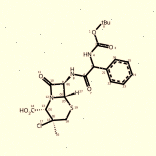 CC(C)(C)OC(=O)NC(C(=O)N[C@@H]1C(=O)N2[C@@H](C(=O)O)[C@](C)(Cl)CS[C@@H]12)c1ccccc1